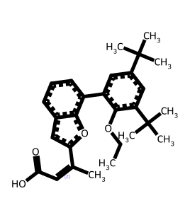 CCOc1c(-c2cccc3cc(/C(C)=C\C(=O)O)oc23)cc(C(C)(C)C)cc1C(C)(C)C